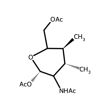 CC(=O)NC1[C@H](OC(C)=O)OC(COC(C)=O)[C@@H](C)[C@@H]1C